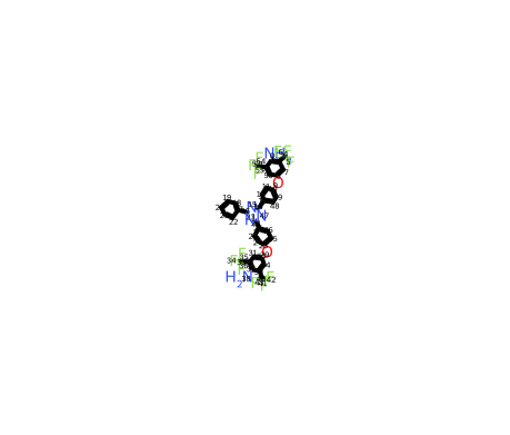 Nc1c(C(F)(F)F)cc(Oc2ccc(-c3nc(-c4ccccc4)nc(-c4ccc(Oc5cc(C(F)(F)F)c(N)c(C(F)(F)F)c5)cc4)n3)cc2)cc1C(F)(F)F